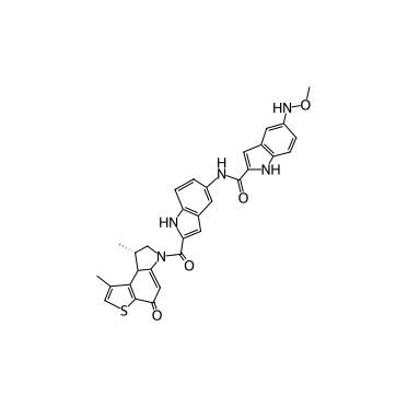 CONc1ccc2[nH]c(C(=O)Nc3ccc4[nH]c(C(=O)N5C[C@@H](C)C6C5=CC(=O)c5scc(C)c56)cc4c3)cc2c1